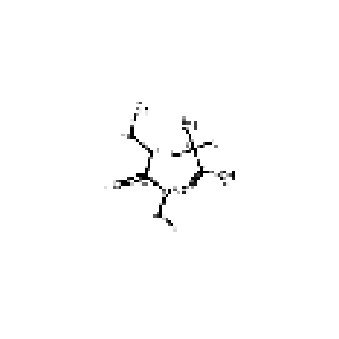 CC(C)(O)C(=O)O.CCOC(=O)CCO